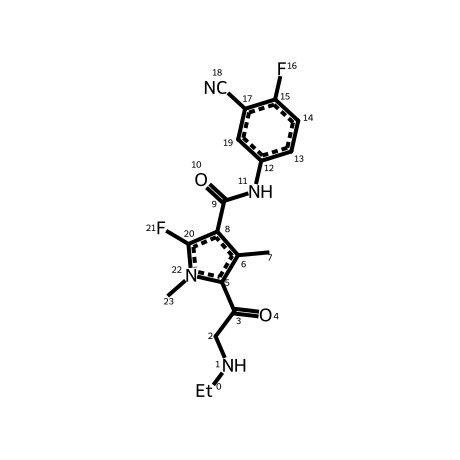 CCNCC(=O)c1c(C)c(C(=O)Nc2ccc(F)c(C#N)c2)c(F)n1C